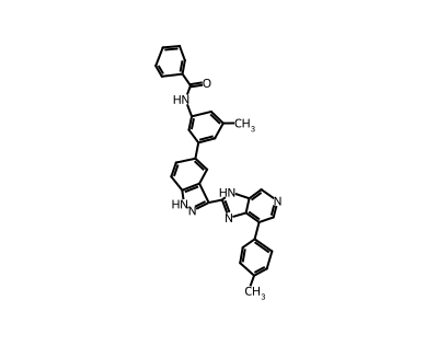 Cc1ccc(-c2cncc3[nH]c(-c4n[nH]c5ccc(-c6cc(C)cc(NC(=O)c7ccccc7)c6)cc45)nc23)cc1